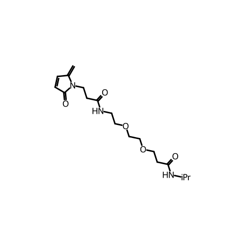 C=C1C=CC(=O)N1CCC(=O)NCCOCCOCCC(=O)NC(C)C